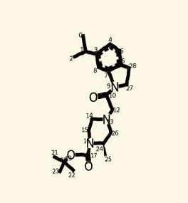 CC(C)c1ccc2c(c1)N(C(=O)CN1CCN(C(=O)OC(C)(C)C)[C@H](C)C1)CC2